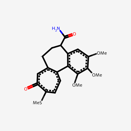 COc1cc2c(c(OC)c1OC)-c1ccc(SC)c(=O)cc1[CH]CC2C(N)=O